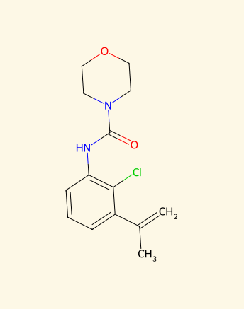 C=C(C)c1cccc(NC(=O)N2CCOCC2)c1Cl